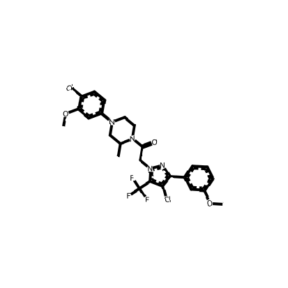 COc1cccc(-c2nn(CC(=O)N3CCN(c4ccc(Cl)c(OC)c4)CC3C)c(C(F)(F)F)c2Cl)c1